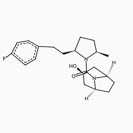 C[C@@H]1CC[C@H](CCc2ccc(F)cc2)N1C(=O)N1[C@@H]2CC[C@H]1C[C@@H](O)C2